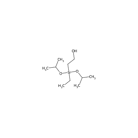 CC[Si](CCO)(OC(C)C)OC(C)C